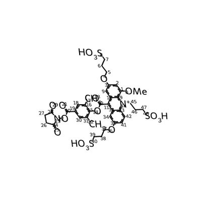 COc1cc(OCCCS(=O)(=O)O)cc2c(C(=O)Oc3c(C)cc(C(=O)ON4C(=O)CCC4=O)cc3C)c3cc(OCCCS(=O)(=O)O)ccc3[n+](CCCS(=O)(=O)O)c12